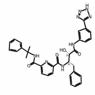 CC(C)(NC(=O)c1cccc(C(=O)N[C@@H](Cc2ccccc2)[C@H](O)C(=O)Nc2cccc(-c3nn[nH]n3)c2)n1)c1ccccc1